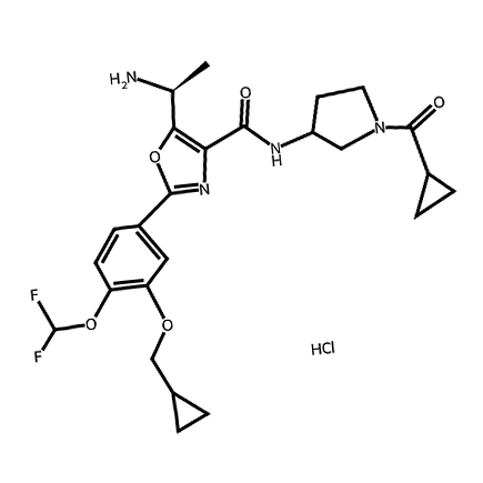 C[C@H](N)c1oc(-c2ccc(OC(F)F)c(OCC3CC3)c2)nc1C(=O)NC1CCN(C(=O)C2CC2)C1.Cl